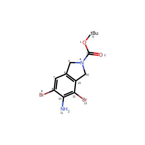 CC(C)(C)OC(=O)N1Cc2cc(Br)c(N)c(Br)c2C1